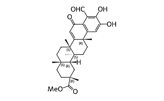 COC(=O)[C@]1(C)CC[C@]2(C)CC[C@]3(C)C4=CC(=O)c5c(cc(O)c(O)c5C=O)[C@]4(C)CC[C@@]3(C)[C@@H]2C1